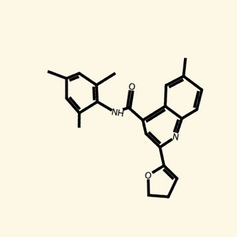 Cc1cc(C)c(NC(=O)c2cc(C3=CCCO3)nc3ccc(C)cc23)c(C)c1